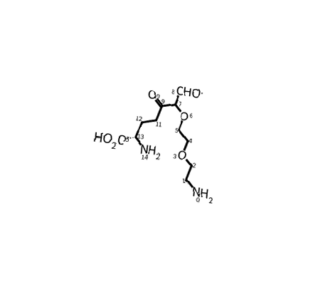 NCCOCCOC([C]=O)C(=O)CC[C@H](N)C(=O)O